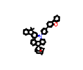 CC1(C)c2ccccc2-c2ccc(N(c3ccc(-c4ccc5c(c4)oc4ccccc45)cc3)c3cccc4c3-c3ccccc3C43C4CCC5CC6CC3(C5)C6C4)cc21